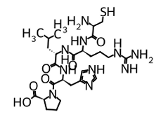 CC(C)C[C@H](NC(=O)[C@H](CCCNC(=N)N)NC(=O)[C@@H](N)CS)C(=O)N[C@@H](Cc1c[nH]cn1)C(=O)N1CCC[C@H]1C(=O)O